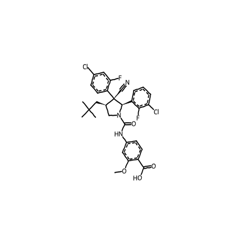 COc1cc(NC(=O)N2C[C@@H](CC(C)(C)C)[C@](C#N)(c3ccc(Cl)cc3F)[C@H]2c2cccc(Cl)c2F)ccc1C(=O)O